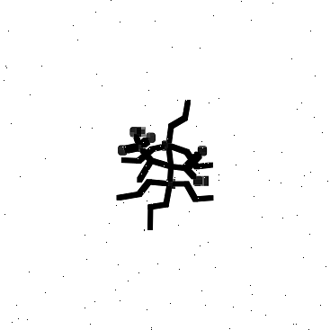 CCC[Si](CCC)(CCC)C(C(=O)O)(C(C)S(=O)(=O)O)[Si](CCC)(CCC)CCC